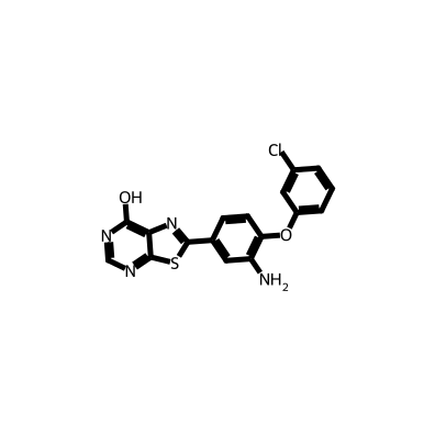 Nc1cc(-c2nc3c(O)ncnc3s2)ccc1Oc1cccc(Cl)c1